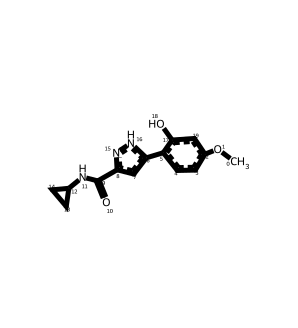 COc1ccc(-c2cc(C(=O)NC3CC3)n[nH]2)c(O)c1